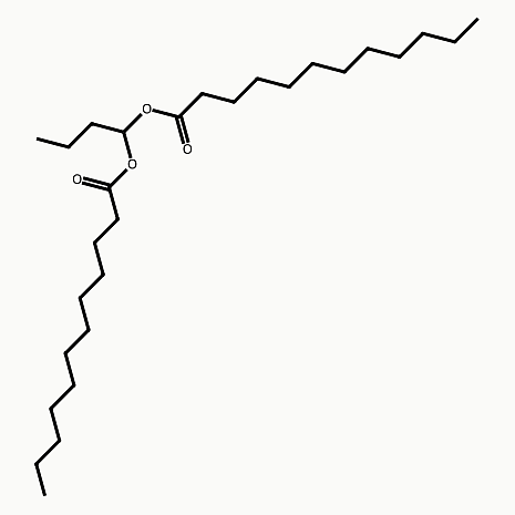 CCCCCCCCCCCC(=O)OC(CCC)OC(=O)CCCCCCCCCCC